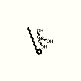 CCCCCCCCCCCCc1ccccc1.OCCON(OCCO)OCCO